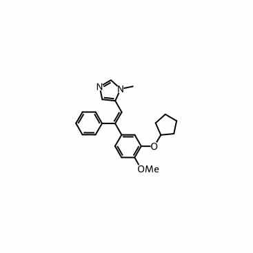 COc1ccc(C(=Cc2cncn2C)c2ccccc2)cc1OC1CCCC1